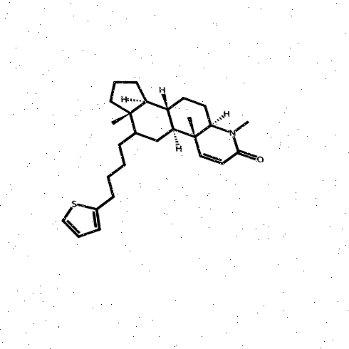 CN1C(=O)C=C[C@]2(C)[C@H]3CC(CCCCc4cccs4)[C@]4(C)CCC[C@H]4[C@@H]3CC[C@@H]12